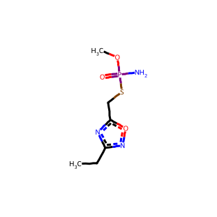 CCc1noc(CSP(N)(=O)OC)n1